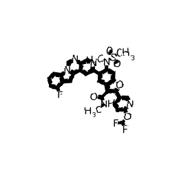 CNC(=O)c1c(-c2ccc(OC(F)F)nc2)oc2cc(N(C)S(C)(=O)=O)c(-c3cc4c(cn3)ncn3c5cccc(F)c5cc43)cc12